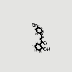 O=C(C=Cc1ccc(Br)cc1)c1ccccc1O